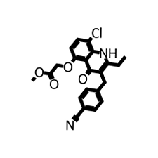 CCc1[nH]c2c(Cl)ccc(OCC(=O)OC)c2c(=O)c1Cc1ccc(C#N)cc1